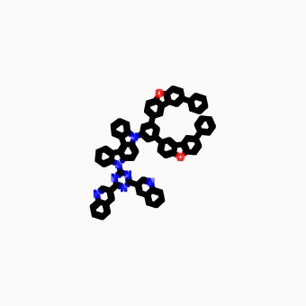 c1ccc(-c2ccc3oc4ccc(-c5cc(-c6ccc7oc8ccc(-c9ccccc9)cc8c7c6)cc(-n6c7ccccc7c7c8c9ccccc9n(-c9nc(-c%10cnc%11ccccc%11c%10)nc(-c%10cnc%11ccccc%11c%10)n9)c8ccc76)c5)cc4c3c2)cc1